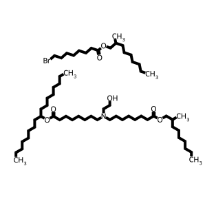 CCCCCCCC(C)COC(=O)CCCCCCCBr.CCCCCCCCC(CCCCCCCC)OC(=O)CCCCCCCN(CCO)CCCCCCCC(=O)OCC(C)CCCCCCC